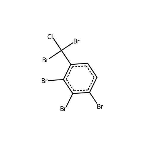 ClC(Br)(Br)c1ccc(Br)c(Br)c1Br